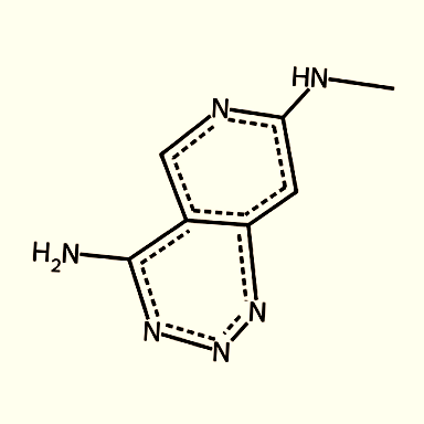 CNc1cc2nnnc(N)c2cn1